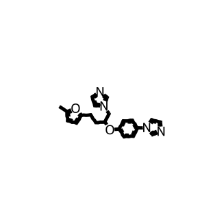 Cc1ccc(CCC(Cn2ccnc2)Oc2ccc(-n3ccnc3)cc2)o1